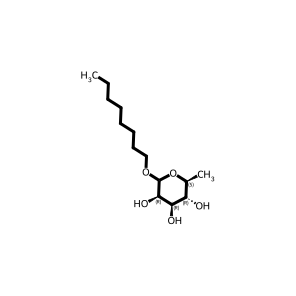 CCCCCCCCOC1O[C@@H](C)[C@H](O)[C@@H](O)[C@H]1O